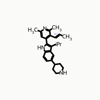 C/C=C/c1c(-c2[nH]c3ccc(C4CCNCC4)cc3c2C(C)C)cc(C)nc1C